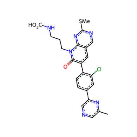 CSc1ncc2cc(-c3ccc(-c4cncc(C)n4)cc3Cl)c(=O)n(CCCNC(=O)O)c2n1